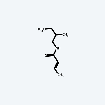 CC=CC(=O)NCC(C)CC(=O)O